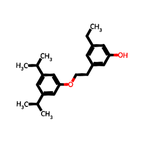 CCc1cc(O)cc(CCOc2cc(C(C)C)cc(C(C)C)c2)c1